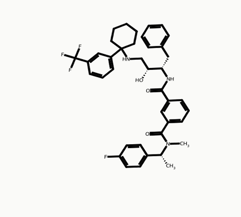 C[C@H](c1ccc(F)cc1)N(C)C(=O)c1cccc(C(=O)N[C@@H](Cc2ccccc2)[C@H](O)CNC2(c3cccc(C(F)(F)F)c3)CCCCC2)c1